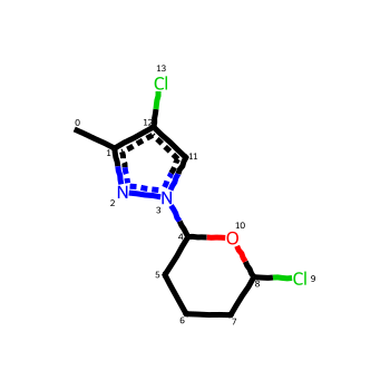 Cc1nn(C2CCCC(Cl)O2)cc1Cl